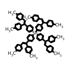 Cc1ccc(C=C(c2ccc(C)cc2)c2cc[c]([Sn]([c]3ccc(C(=Cc4ccc(C)cc4)c4ccc(C)cc4)cc3)([c]3ccc(C(=Cc4ccc(C)cc4)c4ccc(C)cc4)cc3)[c]3ccc(C(=Cc4ccc(C)cc4)c4ccc(C)cc4)cc3)cc2)cc1